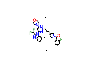 O=C(c1ccccc1F)N1CC[C@H](CCCc2nc(N3CCOCC3)cc(-n3c(C(F)F)nc4ccccc43)n2)C1